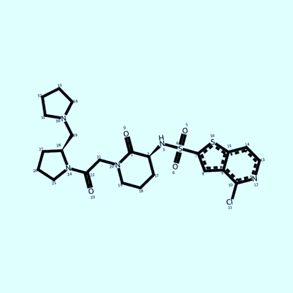 O=C1[C@@H](NS(=O)(=O)c2cc3c(Cl)nccc3s2)CCCN1CC(=O)N1CCC[C@H]1CN1CCCC1